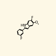 COc1cc2cc(-c3cccc(F)c3)[nH]c2cc1F